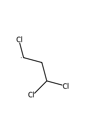 Cl[CH]CC(Cl)Cl